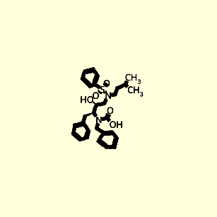 CC(C)CCN(C[C@@H](O)[C@H](Cc1ccccc1)N(Cc1ccccc1)C(=O)O)S(=O)(=O)c1ccccc1